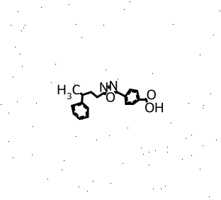 CC(CCc1nnc(-c2ccc(C(=O)O)cc2)o1)c1ccccc1